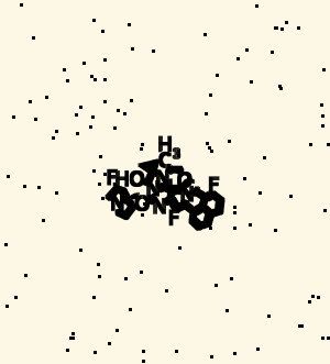 C#Cc1c(F)ccc2cccc(-c3nc4c5c(nc(OC[C@@]67CCCN6C[C@H](F)C7)nc5c3F)N(C3(CO)CC3)[C@@H](C)CO4)c12